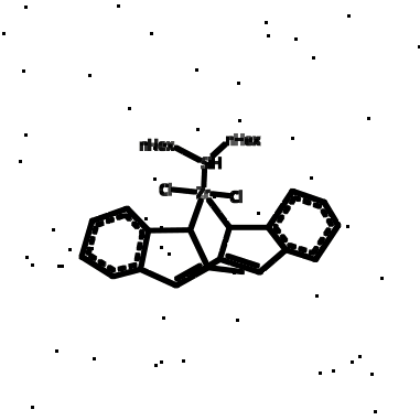 CCCCCC[SiH](CCCCCC)[Zr]([Cl])([Cl])([CH]1C(C)=Cc2ccccc21)[CH]1C(C)=Cc2ccccc21